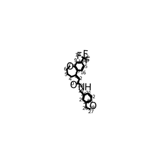 O=C(C=C1CCCOc2cc(C(F)(F)F)ccc21)NCc1ccc2c(c1)CCO2